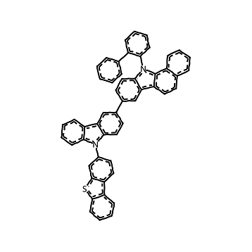 c1ccc(-c2ccccc2-n2c3ccc(-c4ccc5c(c4)c4ccccc4n5-c4ccc5c(c4)sc4ccccc45)cc3c3ccc4ccccc4c32)cc1